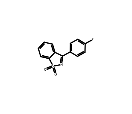 O=S1(=O)N=C(c2ccc(F)cc2)c2ccccc21